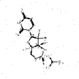 CC(C)O[P@]1(=S)OC[C@H]2O[C@@H](n3ccc(=O)[nH]c3=O)C(Cl)(Cl)[C@@H]2O1